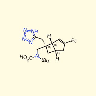 CCC1=C[C@@H]2[C@H](C1)C[C@@]2(Cc1nnn[nH]1)CN(C(=O)O)C(C)(C)C